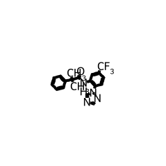 CC(C)(C(=O)Nc1cc(C(F)(F)F)ccc1-n1cncn1)c1ccccc1